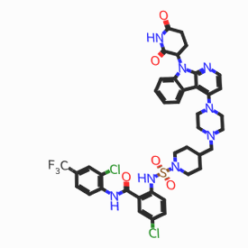 O=C1CCC(n2c3ccccc3c3c(N4CCN(CC5CCN(S(=O)(=O)Nc6ccc(Cl)cc6C(=O)Nc6ccc(C(F)(F)F)cc6Cl)CC5)CC4)ccnc32)C(=O)N1